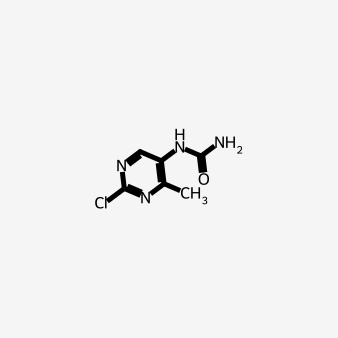 Cc1nc(Cl)ncc1NC(N)=O